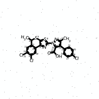 Cc1nn(-c2nc3c(s2)SC(C)c2cc(Cl)c(Cl)cc2-3)c(C(=O)O)c1-c1ccc(Cl)cc1